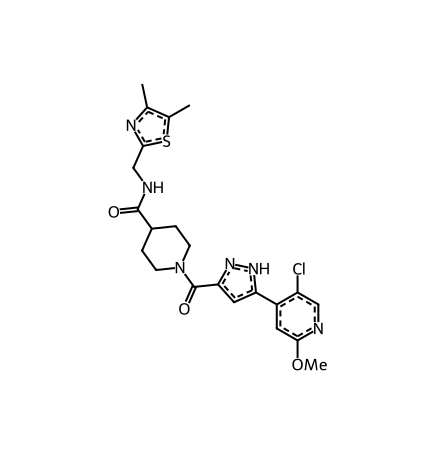 COc1cc(-c2cc(C(=O)N3CCC(C(=O)NCc4nc(C)c(C)s4)CC3)n[nH]2)c(Cl)cn1